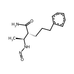 C[C@H](NN=O)[C@@H](CCCc1ccccc1)C(N)=O